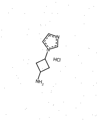 Cl.NC1CC(n2ccnc2)C1